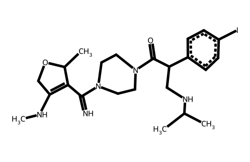 CNC1=C(C(=N)N2CCN(C(=O)C(CNC(C)C)c3ccc(I)cc3)CC2)C(C)OC1